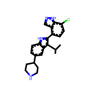 CC(C)c1c(-c2ccc(Cl)c3[nH]ncc23)[nH]c2ccc(C3CCNCC3)cc12